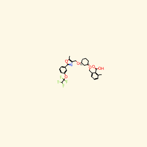 Cc1cccc(CO[C@@H]2CCC[C@H](OCc3nc(-c4cccc(OC(F)(F)C(F)F)c4)oc3C)C2)c1C(=O)O